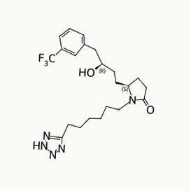 O=C1CC[C@H](CC[C@@H](O)Cc2cccc(C(F)(F)F)c2)N1CCCCCCc1nn[nH]n1